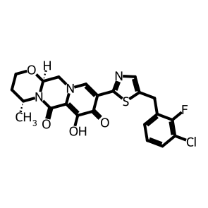 C[C@@H]1CCO[C@H]2Cn3cc(-c4ncc(Cc5cccc(Cl)c5F)s4)c(=O)c(O)c3C(=O)N12